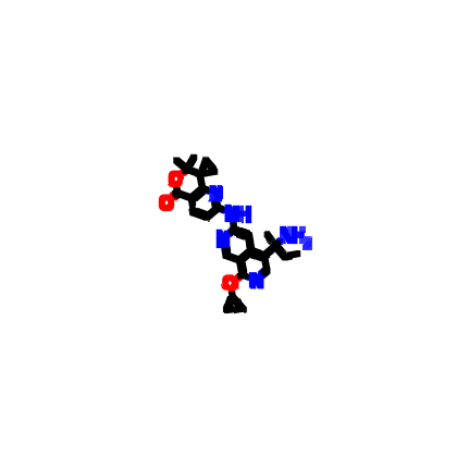 CC[C@@](C)(N)c1cnc(OC2CC2)c2cnc(Nc3ccc4c(n3)C3(CC3)C(C)(C)OC4=O)cc12